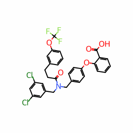 O=C(O)c1ccccc1Oc1ccc(CN(Cc2cc(Cl)cc(Cl)c2)C(=O)CCc2cccc(OC(F)(F)F)c2)cc1